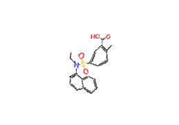 CCN(c1cccc2ccccc12)S(=O)(=O)c1ccc(C)c(C(=O)O)c1